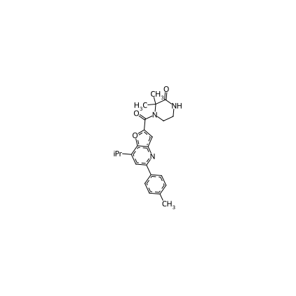 Cc1ccc(-c2cc(C(C)C)c3oc(C(=O)N4CCNC(=O)C4(C)C)cc3n2)cc1